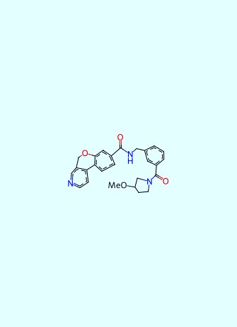 COC1CCN(C(=O)c2cccc(CNC(=O)c3ccc4c(c3)OCc3cnccc3-4)c2)C1